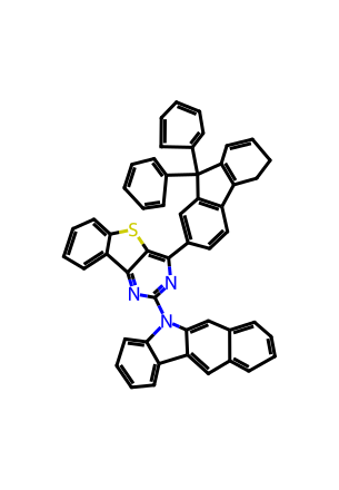 C1=CC2=C(CC1)c1ccc(-c3nc(-n4c5ccccc5c5cc6ccccc6cc54)nc4c3sc3ccccc34)cc1C2(c1ccccc1)c1ccccc1